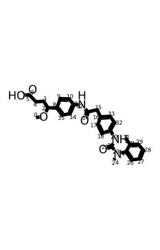 COC(CCC(=O)O)c1ccc(NC(=O)Cc2ccc(NC(=O)N(C)c3ccccc3C)cc2)cc1